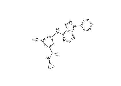 O=C(NC1CC1)c1cc(Nc2ncnc3c2cnn3-c2ccccc2)cc(C(F)(F)F)c1